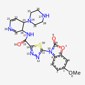 COc1ccc2c(c1)oc(=O)n2-c1nnc(C(=O)NC2C=NC=CC2N2CCNCC2)s1